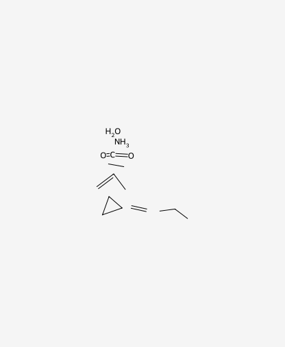 C1CC1.C=C.C=CC.CC.CCC.N.O.O=C=O